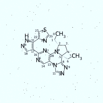 CC[C@@H]1CC[C@@]2(CC)c3nncn3-c3cnc(-c4cn[nH]c4-c4cscn4)nc3N12